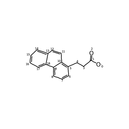 [O]C(=O)CCc1cccc2c1ccc1ccccc12